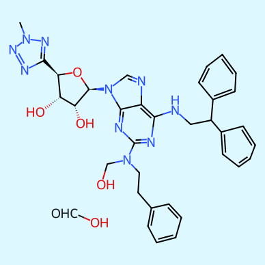 Cn1nnc([C@H]2O[C@@H](n3cnc4c(NCC(c5ccccc5)c5ccccc5)nc(N(CO)CCc5ccccc5)nc43)[C@H](O)[C@@H]2O)n1.O=CO